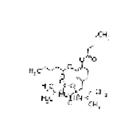 CCCCC(=O)Oc1ccc(C[C@](NC(C)CC)(OC(=O)OC(C)C)C(=O)O)cc1OC(=O)CCCC